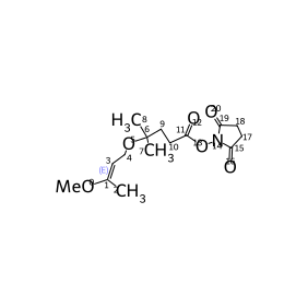 CO/C(C)=C/COC(C)(C)CCC(=O)ON1C(=O)CCC1=O